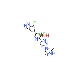 Cl.Cn1cc2cc(-c3cnc(-c4ccc(N5CC(C)(C)NC(C)(C)C5)nn4)c(O)c3)cc(F)c2n1